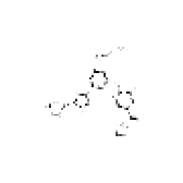 COC[C@H](C)Oc1cc(Oc2ncc(C(=O)N3CCC3)cc2Cl)cc(-c2ccc(C3=NC[C@H](C)O3)[nH]2)c1